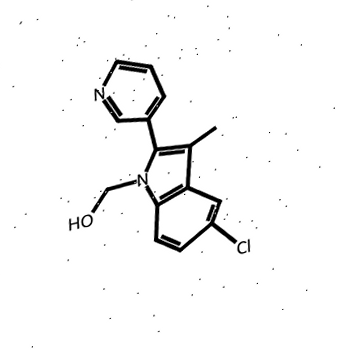 Cc1c(-c2cccnc2)n(CO)c2ccc(Cl)cc12